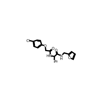 CC(C)C(NC(=O)COc1ccc(Cl)cc1)C(=O)NCc1ccco1